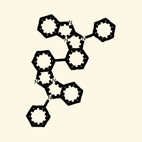 c1ccc(-n2c3ccccc3n3c4c(-c5cccc6c5n5c7ccccc7nc5n6-c5ccccc5)cccc4nc23)cc1